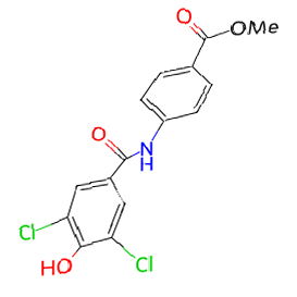 COC(=O)c1ccc(NC(=O)c2cc(Cl)c(O)c(Cl)c2)cc1